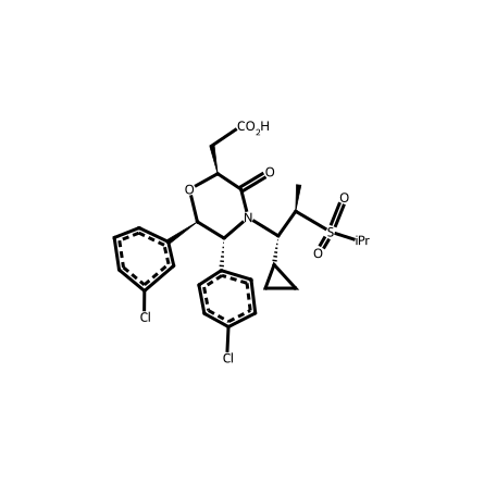 CC(C)S(=O)(=O)[C@H](C)[C@H](C1CC1)N1C(=O)[C@H](CC(=O)O)O[C@H](c2cccc(Cl)c2)[C@H]1c1ccc(Cl)cc1